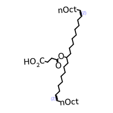 CCCCCCCC/C=C\CCCCCCCCC(CCCCCCC/C=C\CCCCCCCC)OC(=O)CCC(=O)O